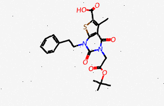 Cc1c(C(=O)O)sc2c1c(=O)n(CC(=O)OC(C)(C)C)c(=O)n2CCc1ccccc1